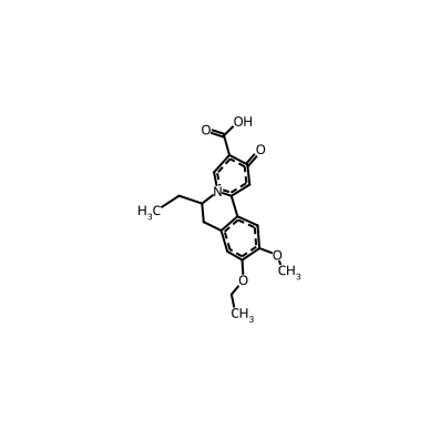 CCOc1cc2c(cc1OC)-c1cc(=O)c(C(=O)O)cn1C(CC)C2